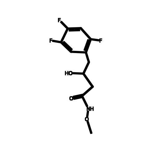 CONC(=O)CC(O)Cc1cc(F)c(F)cc1F